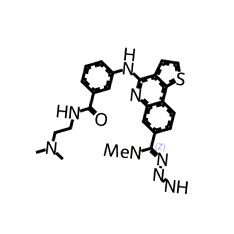 CN/C(=N\N=N)c1ccc2c(c1)nc(Nc1cccc(C(=O)NCCN(C)C)c1)c1ccsc12